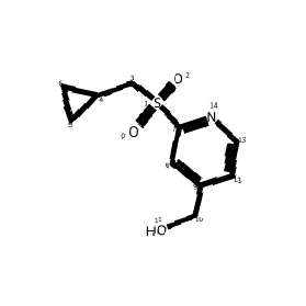 O=S(=O)(CC1CC1)c1cc(CO)ccn1